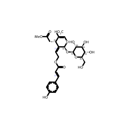 COC(=O)C[C@@H]1C(C(=O)O)=CO[C@@H](O[C@@H]2O[C@H](CO)[C@@H](O)[C@H](O)[C@H]2O)/C1=C\COC(=O)/C=C/c1ccc(O)cc1